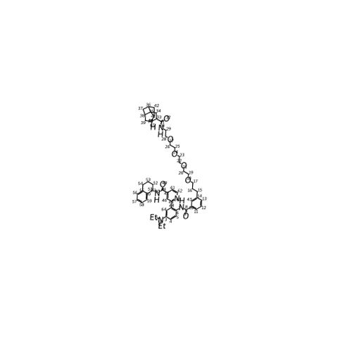 CCN(CC)c1ccc(NC(=O)c2cccc(CCCOCCOCCOCCOCCNC(=O)C3CC45C6CC4C[C@@H]3C5C6)c2)c(-c2cc(C(=O)N[C@H]3CCCc4ccccc43)ccn2)c1